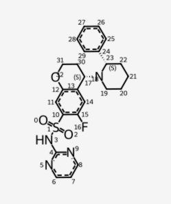 O=S(=O)(Nc1ncccn1)c1cc2c(cc1F)[C@@H](N1CCCC[C@H]1c1ccccc1)CCO2